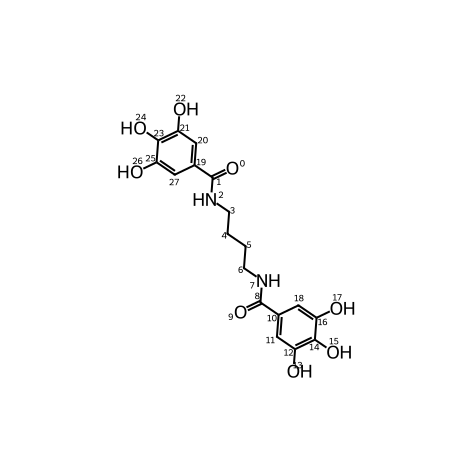 O=C(NCCCCNC(=O)c1cc(O)c(O)c(O)c1)c1cc(O)c(O)c(O)c1